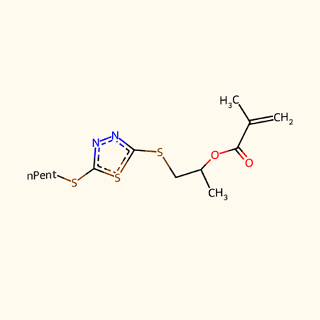 C=C(C)C(=O)OC(C)CSc1nnc(SCCCCC)s1